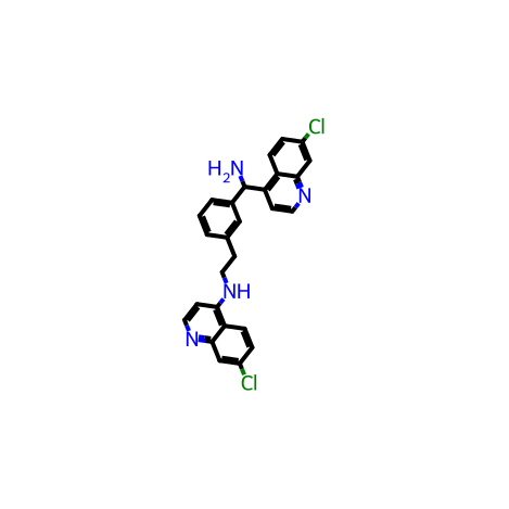 NC(c1cccc(CCNc2ccnc3cc(Cl)ccc23)c1)c1ccnc2cc(Cl)ccc12